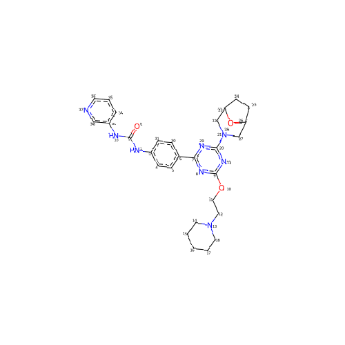 O=C(Nc1ccc(-c2nc(OCCN3CCCCC3)nc(N3CC4CCC(C3)O4)n2)cc1)Nc1cccnc1